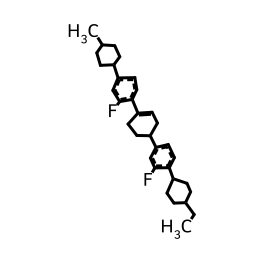 CCC1CCC(c2ccc(C3CC=C(c4ccc(C5CCC(C)CC5)cc4F)CC3)cc2F)CC1